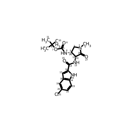 CN1C[C@@H](NC(=O)OC(C)(C)C)[C@H](NC(=O)c2cc3cc(Cl)ccc3[nH]2)C1=O